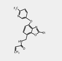 C=CC(=O)NCc1ccc(Oc2ccc(C(F)(F)F)nc2)c2nc(CC)oc12